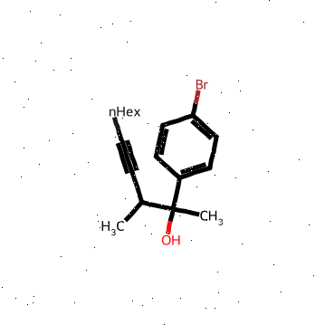 CCCCCCC#CC(C)C(C)(O)c1ccc(Br)cc1